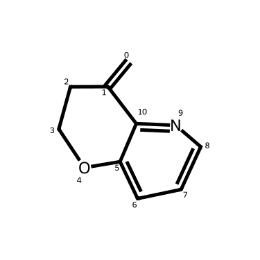 C=C1CCOc2cccnc21